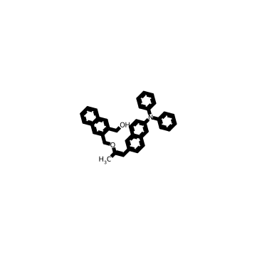 CC(=Cc1ccc2cc(N(c3ccccc3)c3ccccc3)ccc2c1)OCc1cc2ccccc2cc1CO